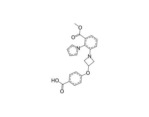 COC(=O)c1cccc(N2CC(Oc3ccc(C(=O)O)cc3)C2)c1-n1cccc1